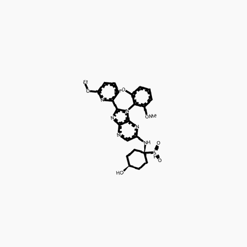 CCOc1cccc(-c2nc3ncc(N[C@]4([SH](=O)=O)CC[C@H](O)CC4)nc3n2-c2c(OC)cccc2OC)n1